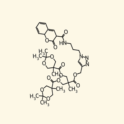 CC1(C)OCC(C)(C(=O)OCC(C)(COC(=O)C2(C)COC(C)(C)OC2)C(=O)OCc2cn(CCCNC(=O)C3C=C4C=CC=CC4OC3=O)nn2)CO1